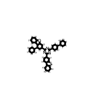 c1ccc(-c2ccc(-c3nc(-c4cc(-c5ccccc5)c5c(c4)oc4ccccc45)nc(-c4ccc5c(c4)sc4ccccc45)n3)cc2)cc1